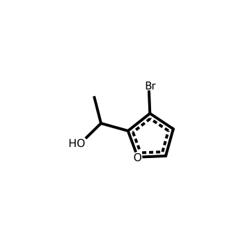 CC(O)c1occc1Br